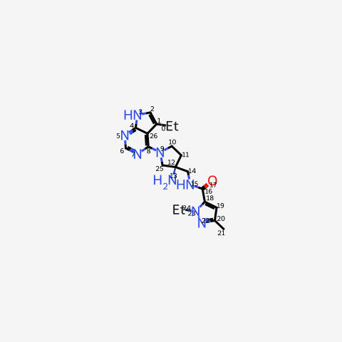 CCc1c[nH]c2ncnc(N3CC[C@](N)(CNC(=O)c4cc(C)nn4CC)C3)c12